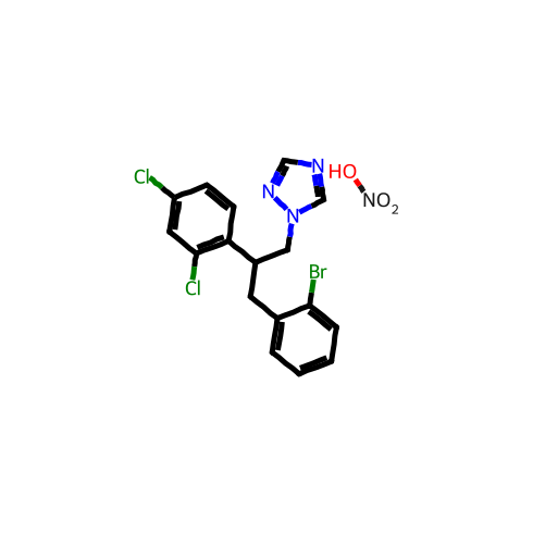 Clc1ccc(C(Cc2ccccc2Br)Cn2cncn2)c(Cl)c1.O=[N+]([O-])O